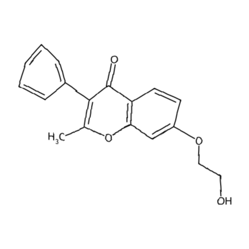 Cc1oc2cc(OCCO)ccc2c(=O)c1-c1ccccc1